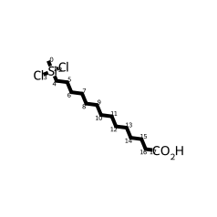 C[Si](Cl)(Cl)CCCCCCCCCCCCCC(=O)O